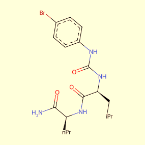 CCC[C@H](NC(=O)[C@H](CC(C)C)NC(=O)Nc1ccc(Br)cc1)C(N)=O